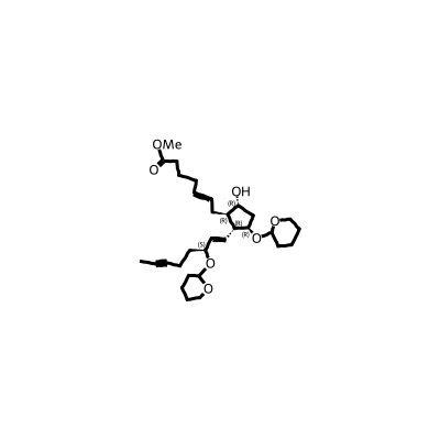 CC#CCC[C@@H](C=C[C@@H]1[C@@H](CC=CCCCC(=O)OC)[C@H](O)C[C@H]1OC1CCCCO1)OC1CCCCO1